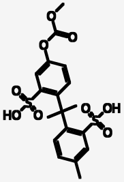 COC(=O)Oc1ccc(C(C)(C)c2ccc(C)cc2S(=O)(=O)O)c(S(=O)(=O)O)c1